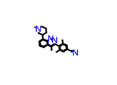 Cc1cc(C#N)cc(C)c1-c1nnc2c(C3CCCN(C)C3)cccc2c1C